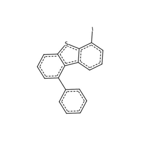 Ic1cccc2c1sc1cccc(-c3ccccc3)c12